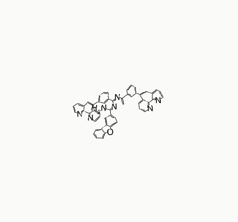 C=C(/N=C(\N=C(/N)c1ccc2oc3ccccc3c2c1)c1cccc(-c2cc3cccnc3c3ncccc23)c1)c1cccc(-c2cc3cccnc3c3ncccc23)c1